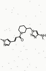 CNc1cn(CC2CCCN(C(=O)/C=C/c3cnn(C)c3)C2)nn1